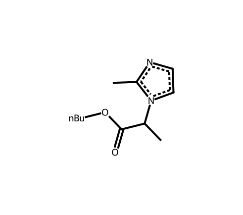 CCCCOC(=O)C(C)n1ccnc1C